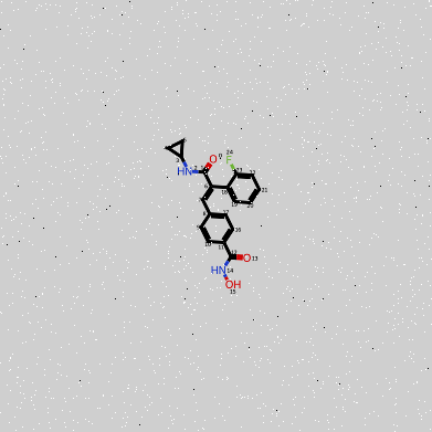 O=C(NC1CC1)/C(=C/c1ccc(C(=O)NO)cc1)c1ccccc1F